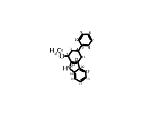 COC1CC(c2ccccc2)Cc2c1[nH]c1ccccc21